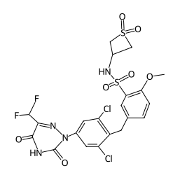 COc1ccc(Cc2c(Cl)cc(-n3nc(C(F)F)c(=O)[nH]c3=O)cc2Cl)cc1S(=O)(=O)NC1CS(=O)(=O)C1